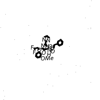 COc1ccccc1Oc1c(NS(=O)(=O)C=Cc2ccccc2)nc(-c2ncccn2)nc1OCC(F)F